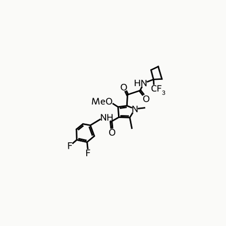 COc1c(C(=O)Nc2ccc(F)c(F)c2)c(C)n(C)c1C(=O)C(=O)NC1(C(F)(F)F)CCC1